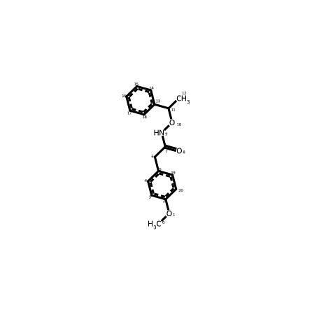 COc1ccc(CC(=O)NOC(C)c2ccccc2)cc1